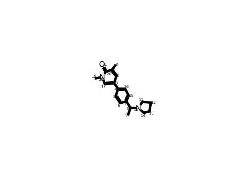 Cc1cc(-c2ccc(C(C)N3CCCC3)cc2)cn(C)c1=O